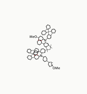 COc1ccc(-c2ccc(N(c3ccc4c(c3)C3(c5ccccc5-c5ccccc53)c3ccccc3-4)c3cc(C4(C)CC(C)(C)c5cc(N(c6ccc(OC)cc6)c6ccc7c(c6)C6(c8ccccc8-c8ccccc86)c6ccccc6-7)c(-c6ccccc6)cc54)ccc3-c3ccccc3)cc2)cc1